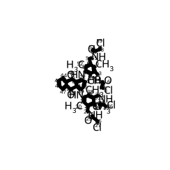 Cc1c(CBC(=O)CCl)c(C)c(Nc2ccc(Nc3c(C)c(CNC(=O)CCl)c(C)c(CNC(=O)CCl)c3C)c3c2C(=O)c2ccccc2C3=O)c(C)c1CNC(=O)CCl